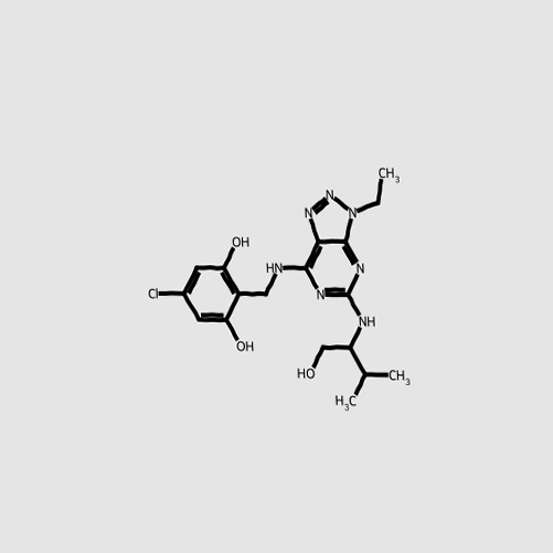 CCn1nnc2c(NCc3c(O)cc(Cl)cc3O)nc(NC(CO)C(C)C)nc21